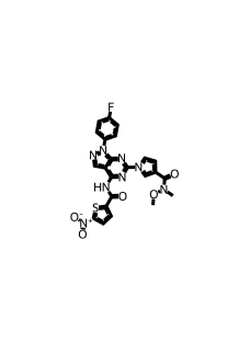 CON(C)C(=O)c1ccn(-c2nc(NC(=O)c3ccc([N+](=O)[O-])s3)c3cnn(-c4ccc(F)cc4)c3n2)c1